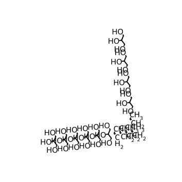 C=CC.C=CC.C=CC.C=CC.C=CC.OCC(O)CO.OCC(O)CO.OCC(O)CO.OCC(O)CO.OCC(O)CO.OCC(O)CO.OCC(O)CO.OCC(O)CO.OCC(O)CO.OCC(O)CO